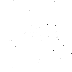 CCOC(=O)c1cc(-c2ccc3c(c2)COC3=O)ns1